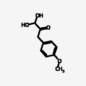 COc1ccc(CC(=O)C(O)O)cc1